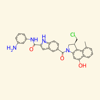 Cc1cccc2c(O)cc3c(c12)[C@H](CCl)CN3C(=O)c1ccc2[nH]c(C(=O)Nc3cccc(N)c3)cc2c1